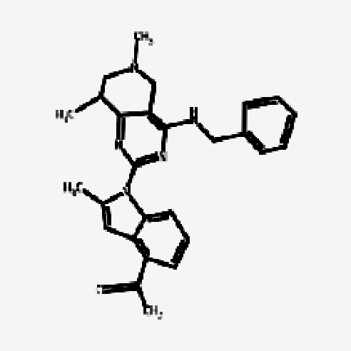 CC(=O)c1cccc2c1cc(C)n2-c1nc(NCc2ccccc2)c2c(n1)C(C)CN(C)C2